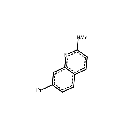 CNc1ccc2ccc(C(C)C)cc2n1